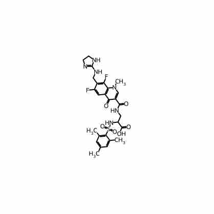 Cc1cc(C)c(S(=O)(=O)NC(CNC(=O)c2cn(C)c3c(F)c(CNC4=NCCN4)c(F)cc3c2=O)C(=O)O)c(C)c1